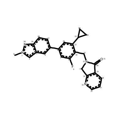 Cn1cc2cc(-c3cc(F)c(CN4Cc5ncccc5C4=O)c(C4CC4)c3)ccc2n1